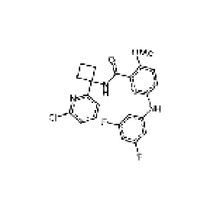 COc1ccc(Nc2cc(F)cc(F)c2)nc1C(=O)NC1(c2cccc(Cl)n2)CCC1